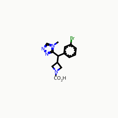 Cn1cnnc1C(c1cccc(Br)c1)C1CN(C(=O)O)C1